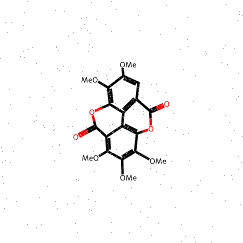 COc1cc2c(=O)oc3c(OC)c(OC)c(OC)c4c(=O)oc(c1OC)c2c34